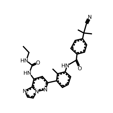 CCNC(=O)Nc1cc(-c2cccc(NC(=O)c3ccc(C(C)(C)C#N)cc3)c2C)nn2ccnc12